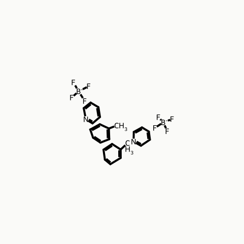 Cc1ccccc1.Cc1ccccc1.F[B-](F)(F)F.F[B-](F)(F)F.c1ccncc1.c1ccncc1